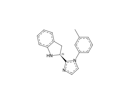 Cc1cccc(-n2ccnc2[C@@H]2Cc3ccccc3N2)c1